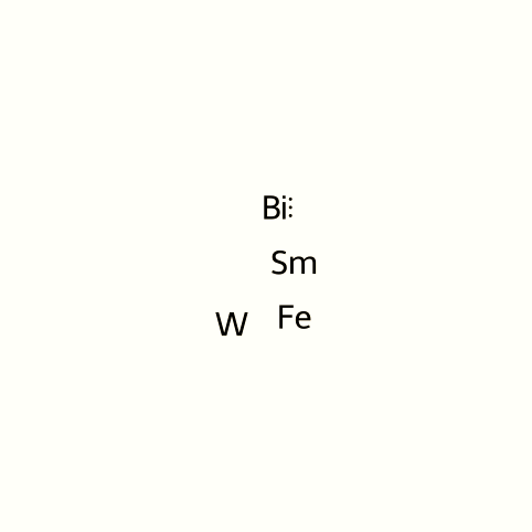 [Bi].[Fe].[Sm].[W]